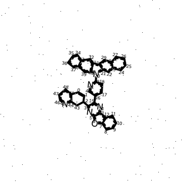 C1=CC(c2nc3oc4ccccc4c3nc2-c2ccc(-n3c4cc5ccccc5cc4c4cc5ccccc5cc43)nc2)Cc2ncccc21